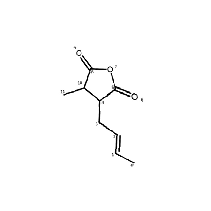 C/C=C/CC1C(=O)OC(=O)C1C